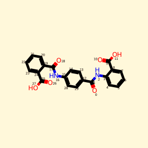 O=C(Nc1ccccc1C(=O)O)c1ccc(NC(=O)c2ccccc2C(=O)O)cc1